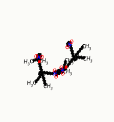 CCCCCCCCC1C(CCCCCC)CCC(CCCCCCCCC(C)(CCCCCC)n2c(=O)c3cc4c(=O)n(CCCCCCCCC5C(CCCCCCCCC(CC)(CCCCC)N6C(=O)C=CC6=O)CCC(CCCCCC)C5CCCCCCCC)c(=O)c4cc3c2=O)C1CCCCCCCCN1C(=O)C=CC1=O